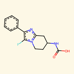 O=C(O)NC1CCn2c(nc(-c3ccccc3)c2F)C1